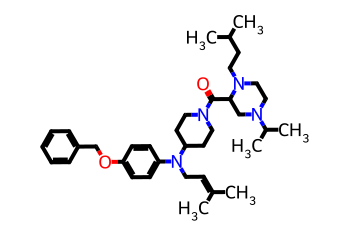 CC(C)=CCN(c1ccc(OCc2ccccc2)cc1)C1CCN(C(=O)C2CN(C(C)C)CCN2CCC(C)C)CC1